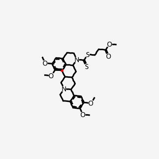 CCC1CN2CCc3cc(OC)c(OC)cc3C2CC1CC1c2cc(OC)c(OC)cc2CCN1C(=S)SCCC(=O)OC